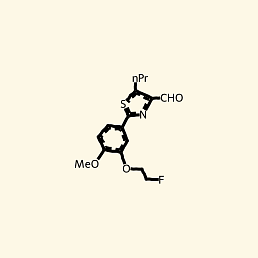 CCCc1sc(-c2ccc(OC)c(OCCF)c2)nc1C=O